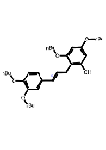 CCCCOc1cc(O)c(C/C=C/c2ccc(OCCCC)c(OCCCC)c2)c(OCCCC)c1